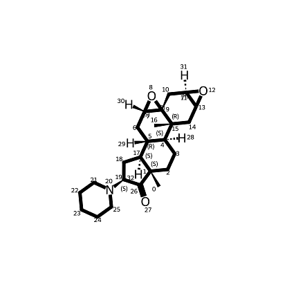 C[C@]12CC[C@H]3[C@@H](C[C@@H]4O[C@@]45C[C@H]4OC4C[C@]35C)[C@@H]1C[C@H](N1CCCCC1)C2=O